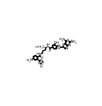 Nc1ccc(C(=O)NCCC[C@H](NC(=O)c2ccc(NCc3cnc4nc(N)nc(N)c4n3)c(O)c2)C(=O)O)c(-c2nn[nH]n2)c1